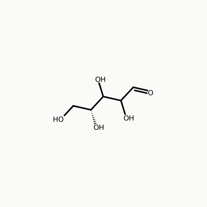 O=CC(O)C(O)[C@H](O)CO